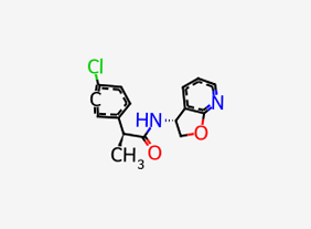 C[C@H](C(=O)N[C@H]1COc2ncccc21)c1ccc(Cl)cc1